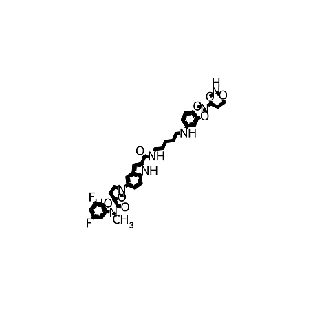 CN(C(=O)C1(O)CCN(c2ccc3[nH]c(C(=O)NCCCCCNc4ccc5c(c4)ON(C4CCONO4)O5)cc3c2)O1)c1cc(F)cc(F)c1